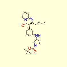 CCCCc1nc2ccccn2c(=O)c1-c1cccc(NC2CCN(C(=O)OC(C)(C)C)C2)c1